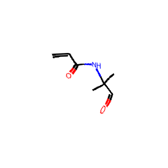 C=CC(=O)NC(C)(C)C=O